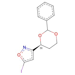 Ic1cc([C@@H]2CCOC(c3ccccc3)O2)no1